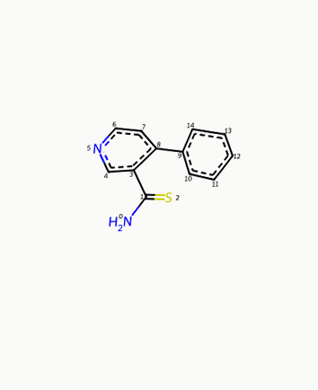 NC(=S)c1cnccc1-c1ccccc1